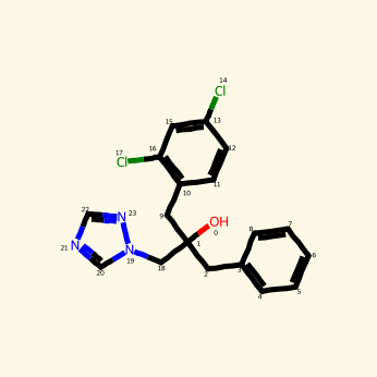 OC(Cc1ccccc1)(Cc1ccc(Cl)cc1Cl)Cn1cncn1